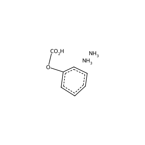 N.N.O=C(O)Oc1ccccc1